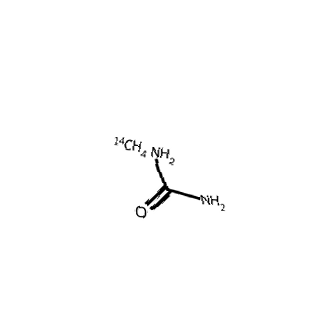 NC(N)=O.[14CH4]